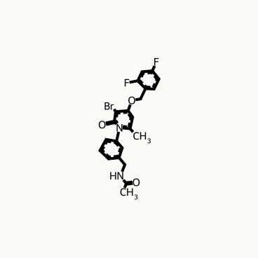 CC(=O)NCc1cccc(-n2c(C)cc(OCc3ccc(F)cc3F)c(Br)c2=O)c1